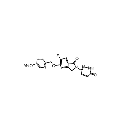 COc1ccc(COc2cc3c(cc2F)C(=O)N(c2ccc(=O)[nH]n2)C3)nc1